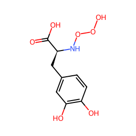 O=C(O)[C@H](Cc1ccc(O)c(O)c1)NOOO